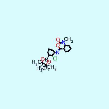 Cn1c(=O)oc(=Nc2cccc(B3OC(C)(C)C(C)(C)O3)c2Cl)c2ccccc21